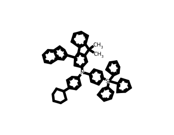 CC1(C)c2ccccc2-c2c(-c3ccc4ccccc4c3)cc(N(c3ccc(C4CCCCC4)cc3)c3ccc([Si](c4ccccc4)(c4ccccc4)c4ccccc4)cc3)cc21